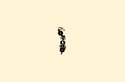 CCc1ccc(-c2csc(N3CCN(S(=O)(=O)c4ccc(F)cc4F)CC3)n2)cc1